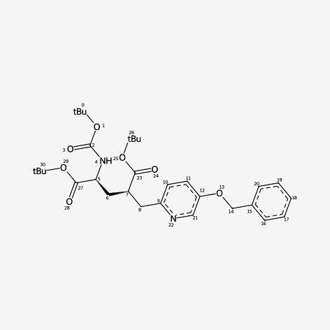 CC(C)(C)OC(=O)N[C@@H](C[C@H](Cc1ccc(OCc2ccccc2)cn1)C(=O)OC(C)(C)C)C(=O)OC(C)(C)C